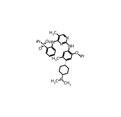 Cc1cnc(Nc2cc(C)c([C@H]3CC[C@H](N(C)C)CC3)cc2OC(C)C)nc1Nc1ccccc1S(=O)(=O)C(C)C